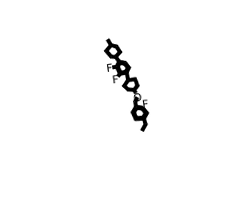 CCc1ccc(COC2CCC(c3ccc(C4CCC(C)CC4)c(F)c3F)CC2)c(F)c1